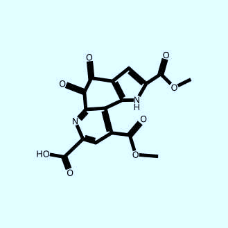 COC(=O)c1cc2c([nH]1)-c1c(C(=O)OC)cc(C(=O)O)nc1C(=O)C2=O